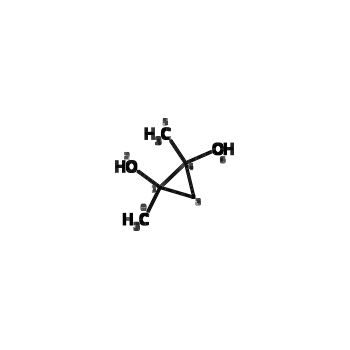 CC1(O)CC1(C)O